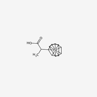 CC(C(=O)O)[C]12[CH]3[CH]4[CH]5[CH]1[Fe]45321678[CH]2[CH]1[CH]6[CH]7[CH]28